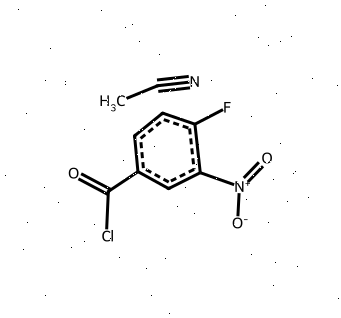 CC#N.O=C(Cl)c1ccc(F)c([N+](=O)[O-])c1